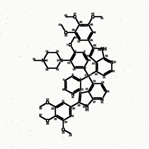 COc1ccc([N+](c2cccnc2)(c2ccnc3[nH]c(-c4cc(OC)c(OC)c(OC)c4)cc23)c2ccnc3[nH]c(-c4cc(OC)c(OC)c(OC)c4)cc23)cc1N1CCN(C)CC1